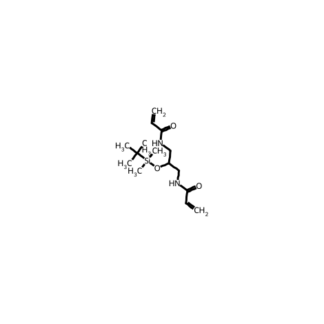 C=CC(=O)NCC(CNC(=O)C=C)O[Si](C)(C)C(C)(C)C